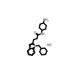 Cl.NC1CCC(NC(=O)CCc2cc3ccccc3n2CC2CCCCC2)CC1